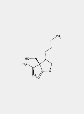 C=C(C)[C@@]1(CO)C(=O)OC[C@H]1CCCC